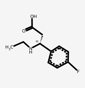 CCN[C@H](CC(=O)O)c1ccc(F)cc1